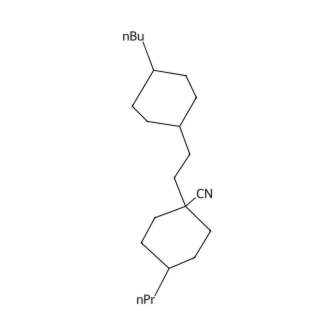 CCCCC1CCC(CCC2(C#N)CCC(CCC)CC2)CC1